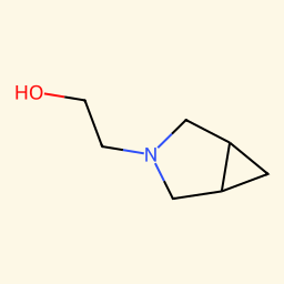 OCCN1CC2CC2C1